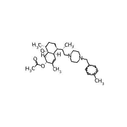 CC(=O)O[C@@H]1[C][C@@]2(O)[C@H](C)CC[C@@H]([C@H](C)CN3CCN(Cc4ccc(C)cc4)CC3)[C@H]2C=C1C